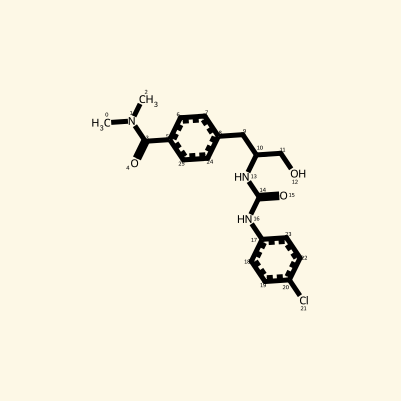 CN(C)C(=O)c1ccc(CC(CO)NC(=O)Nc2ccc(Cl)cc2)cc1